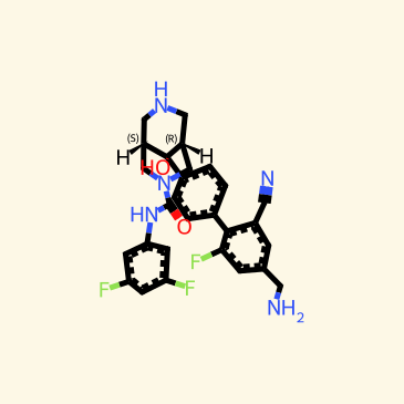 N#Cc1cc(CN)cc(F)c1-c1ccc(C2(O)[C@@H]3CNC[C@H]2CN(C(=O)Nc2cc(F)cc(F)c2)C3)cc1